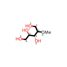 COC(CO)[C@H](O)[C@H](O)CO